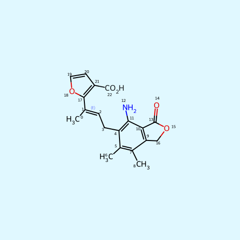 C/C(=C\Cc1c(C)c(C)c2c(c1N)C(=O)OC2)c1occc1C(=O)O